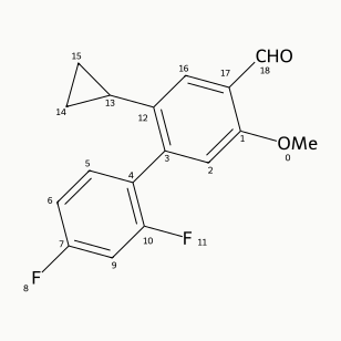 COc1cc(-c2ccc(F)cc2F)c(C2CC2)cc1C=O